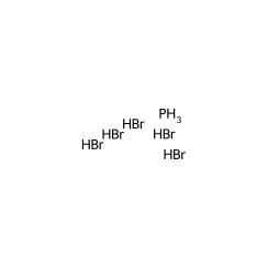 Br.Br.Br.Br.Br.P